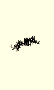 CC(=O)N1C[C@H]2CC(Nc3ncc4c(-c5cnc6nc(C)n(CC(F)F)c6c5)c[nH]c4n3)C[C@H]2C1